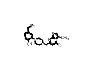 Cc1csc2nc(CN3CCN(c4cc(CC(C)C)ccc4C#N)CC3)cc(=O)n12